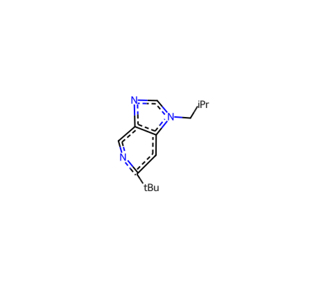 CC(C)Cn1cnc2cnc(C(C)(C)C)cc21